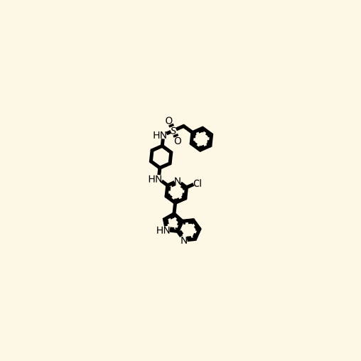 O=S(=O)(Cc1ccccc1)NC1CCC(Nc2cc(-c3c[nH]c4ncccc34)cc(Cl)n2)CC1